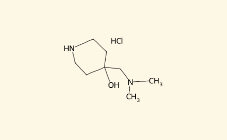 CN(C)CC1(O)CCNCC1.Cl